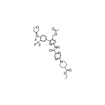 CCOC(=O)C1CCN(c2cnc(C(=O)Nc3nc(-c4ccc(O[C@H]5CCOC5)c(C(F)(F)F)c4)c(COC(C)=O)s3)cn2)CC1